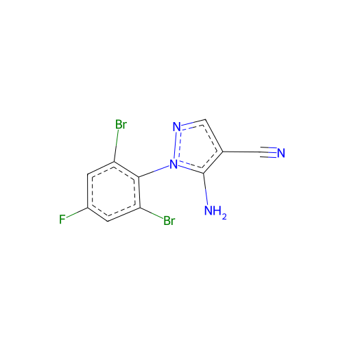 N#Cc1cnn(-c2c(Br)cc(F)cc2Br)c1N